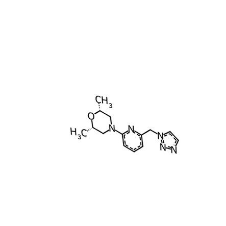 C[C@@H]1CN(c2cccc(Cn3ccnn3)n2)C[C@H](C)O1